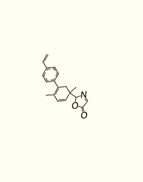 C=Cc1ccc(C2=C(C)C=CC(C)(C3N=CC(=O)O3)C2)cc1